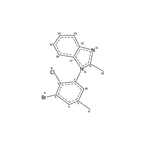 Cc1cc(Br)c(Cl)c(-n2c(C)nc3ccccc32)c1